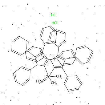 Cl.Cl.[CH3][Zr]([CH3])(=[SiH2])([C]1=C(c2ccccc2)C(c2ccccc2)=C(c2ccccc2)C1c1ccccc1)[C]1=C(c2ccccc2)C(c2ccccc2)=C(c2ccccc2)C1c1ccccc1